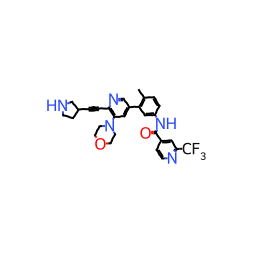 Cc1ccc(NC(=O)c2ccnc(C(F)(F)F)c2)cc1-c1cnc(C#CC2CCNC2)c(N2CCOCC2)c1